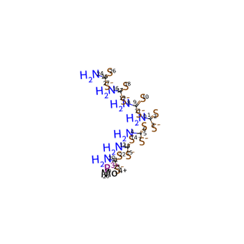 NC(=S)[S-].NC(=S)[S-].NC(=S)[S-].NC(=S)[S-].NC(=S)[S-].NC(=S)[S-].NC(=S)[S-].[Mo+4].[P+3]